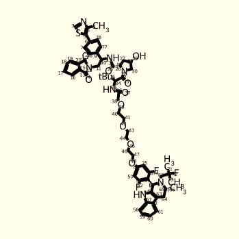 Cc1ncsc1-c1ccc(C(CN2C(=O)c3ccccc3C2=O)NC(=O)[C@@H]2C[C@@H](O)CN2C(=O)C(NC(=O)COCCOCCOCCOc2cc(F)c([C@@H]3c4[nH]c5ccccc5c4C[C@@H](C)N3CC(C)(C)F)c(F)c2)C(C)(C)C)cc1